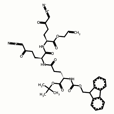 C=CCOC(=O)[C@H](CCC(=O)C=[N+]=[N-])NC(=O)[C@H](CCC(=O)C=[N+]=[N-])NC(=O)CC[C@H](NC(=O)OCC1c2ccccc2-c2ccccc21)C(=O)OC(C)(C)C